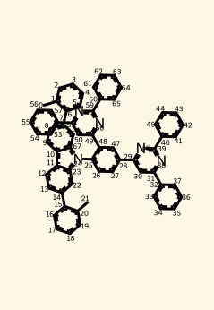 Cc1ccccc1-c1ccc2c3ccc(-c4ccccc4C)cc3n(-c3ccc(-c4cc(-c5ccccc5)nc(-c5ccccc5)n4)cc3-c3cc(-c4ccccc4)nc(-c4ccccc4)n3)c2c1